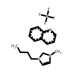 CCCCN1C=CN(C)C1.F[B-](F)(F)F.c1ccc2ncccc2c1